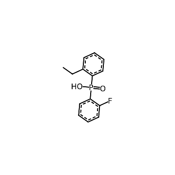 CCc1ccccc1P(=O)(O)c1ccccc1F